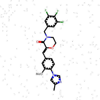 COc1cc(C=C2OCCN(Cc3cc(F)c(F)c(F)c3)C2=O)ccc1-n1cnc(C)c1